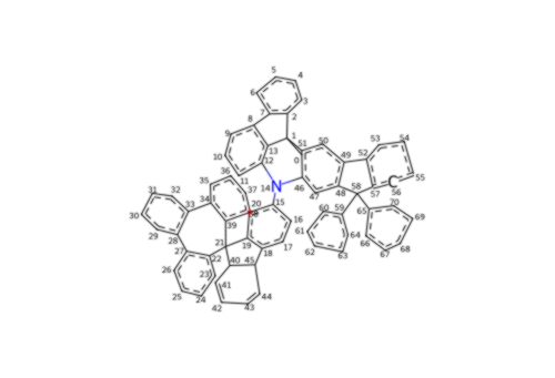 CC12c3ccccc3-c3cccc(c31)N(c1ccc3c(c1)C1(c4ccccc4-c4ccccc4-c4ccccc41)C1C=CC=CC31)c1cc3c(cc12)-c1ccccc1C3(c1ccccc1)c1ccccc1